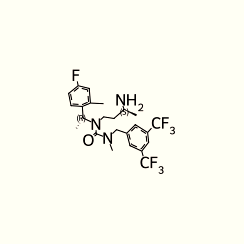 Cc1cc(F)ccc1[C@@H](C)N(CC[C@H](C)N)C(=O)N(C)Cc1cc(C(F)(F)F)cc(C(F)(F)F)c1